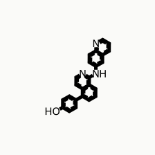 Oc1ccc(-c2cccc3c(Nc4ccc5ncccc5c4)nccc23)cc1